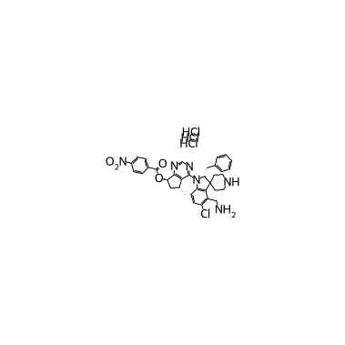 C[C@@H]1C[C@@H](OC(=O)c2ccc([N+](=O)[O-])cc2)c2ncnc(N3c4ccc(Cl)c(CN)c4C4(CCNCC4)[C@H]3Cc3ccccc3)c21.Cl.Cl.Cl